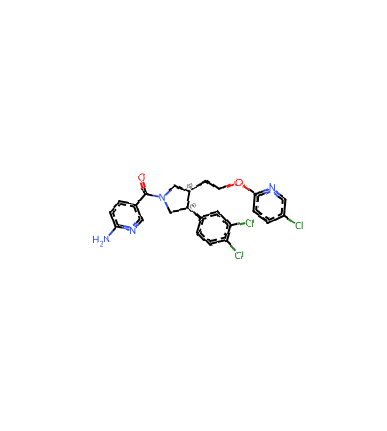 Nc1ccc(C(=O)N2C[C@@H](CCOc3ccc(Cl)cn3)[C@@H](c3ccc(Cl)c(Cl)c3)C2)cn1